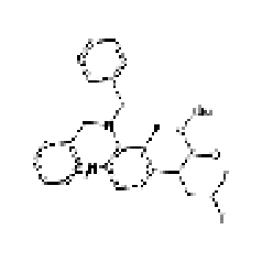 CC(C)(C)OC(=O)C(CC(F)F)c1ccc([N+](=O)[O-])c(N(Cc2ccccc2)Cc2ccccc2)c1F